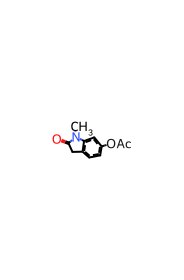 CC(=O)Oc1ccc2c(c1)N(C)C(=O)C2